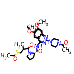 COc1cc2nc(N3CCN(C(C)=O)CC3)nc(NC(=O)[C@@H]3CCCN3C(=O)C(C)CSC(C)=O)c2cc1OC